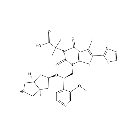 COc1ccccc1[C@H](Cn1c(=O)n(C(C)(C)C(=O)O)c(=O)c2c(C)c(-c3ncco3)sc21)O[C@H]1C[C@H]2CNC[C@H]2C1